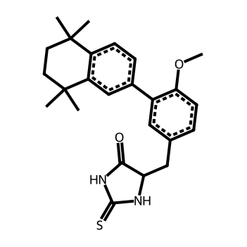 COc1ccc(CC2NC(=S)NC2=O)cc1-c1ccc2c(c1)C(C)(C)CCC2(C)C